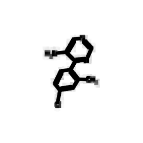 Cc1cc(Cl)ccc1-c1ncncc1N